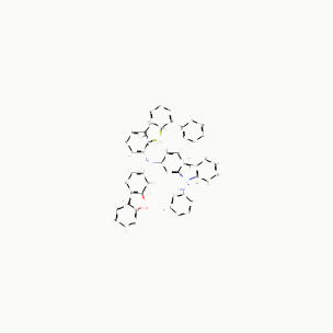 c1ccc(-c2cccc3c2sc2c(N(c4ccc5c(c4)oc4ccccc45)c4ccc5c6ccccc6n(-c6ccccc6)c5c4)cccc23)cc1